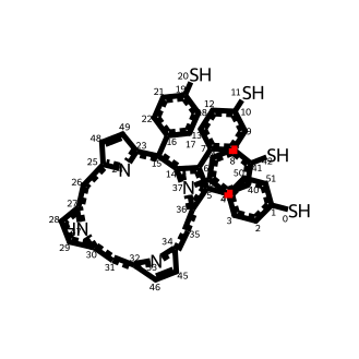 Sc1ccc(-c2c(-c3ccc(S)cc3)c3c(-c4ccc(S)cc4)c4nc(cc5ccc(cc6nc(cc2n3-c2ccc(S)cc2)C=C6)[nH]5)C=C4)cc1